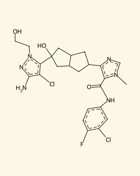 Cn1cnc(C2CC3CC(O)(c4c(Cl)c(N)nn4CCO)CC3C2)c1C(=O)Nc1ccc(F)c(Cl)c1